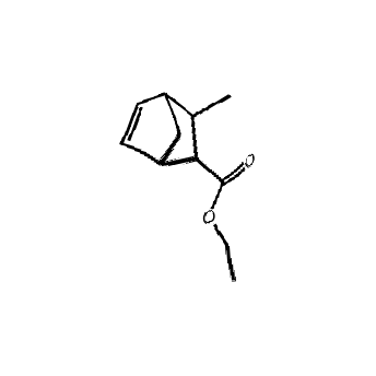 CCOC(=O)C1C2C=CC(C2)C1C